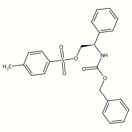 Cc1ccc(S(=O)(=O)OC[C@H](NC(=O)OCc2ccccc2)c2ccccc2)cc1